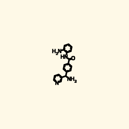 Nc1ccccc1NC(=O)c1ccc(C(N)c2cccnc2)cc1